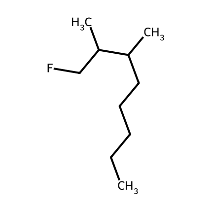 CCCCCC(C)C(C)CF